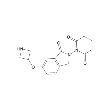 O=C1c2cc(OC3CNC3)ccc2CN1N1C(=O)CCCC1=O